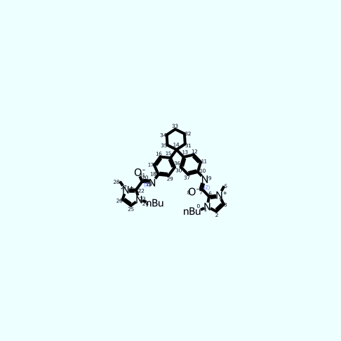 CCCCn1cc[n+](C)c1/C([O-])=N/c1ccc(C2(c3ccc(/N=C(\[O-])c4n(CCCC)cc[n+]4C)cc3)CCCCC2)cc1